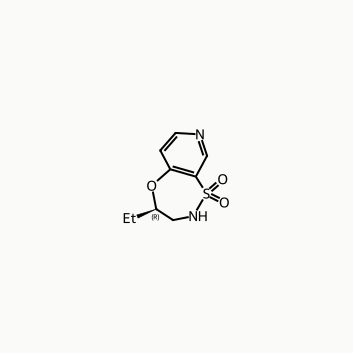 CC[C@@H]1CNS(=O)(=O)c2cnccc2O1